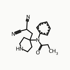 CCC(=O)N(c1ccccc1)C1(CC(C#N)C#N)CCNCC1